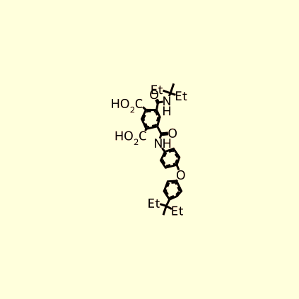 CCC(C)(CC)NC(=O)c1cc(C(=O)Nc2ccc(Oc3ccc(C(C)(CC)CC)cc3)cc2)c(C(=O)O)cc1C(=O)O